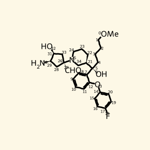 COCCCC[C@@](O)(c1ccccc1Oc1ccc(F)cc1)[C@@H]1CCCN([C@@]2(C=O)C[C@@H](N)[C@@H](O)C2)C1